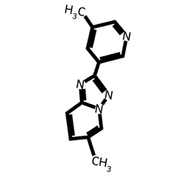 Cc1cncc(-c2nc3ccc(C)cn3n2)c1